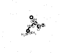 COc1ccc(CCNC(=O)CC2CN(c3cc(Cl)nc(-n4ccnc4)n3)CCN2C(=O)NC2CCCCC2)cc1OC